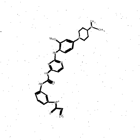 C=CC(=O)Nc1cccc(NC(=O)Nc2ccnc(Nc3ccc(N4CCC(N(C)C)CC4)cc3OC)n2)c1